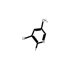 Cc1cnc(I)c(Cl)c1